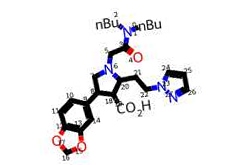 CCCCN(CCCC)C(=O)CN1CC(c2ccc3c(c2)OCO3)C(C(=O)O)C1CCn1cccn1